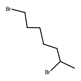 CC(Br)C[CH]CCCBr